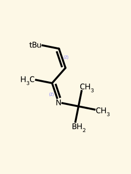 BC(C)(C)/N=C(C)\C=C/C(C)(C)C